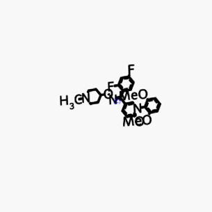 COc1cccc(OC)c1-n1cc(/C(=N/OC2CCN(C)CC2)c2ccc(F)cc2F)ccc1=O